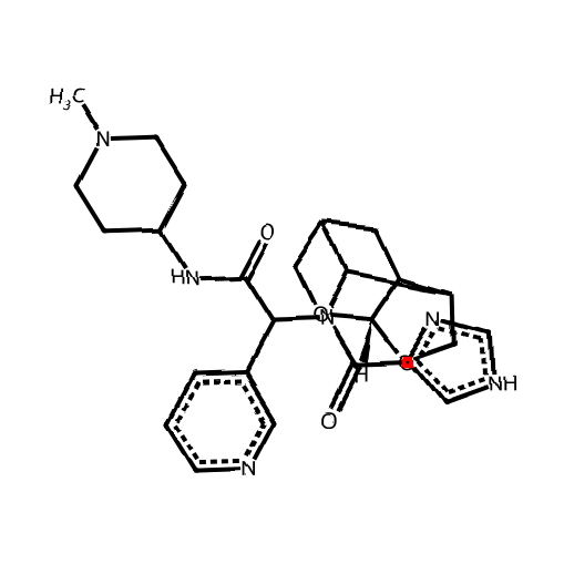 CN1CCC(NC(=O)C(c2cccnc2)N(C(=O)c2c[nH]cn2)C2C3CO[C@H]4OCC2C4C3)CC1